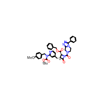 COc1ccc(CN(C(=O)OC(C)(C)C)c2cc(C[C@H]3C(=O)N(C(=O)N4CCn5c(nnc5-c5ccccc5)C4)[C@@H]3C(=O)OCc3ccccc3)ccn2)cc1